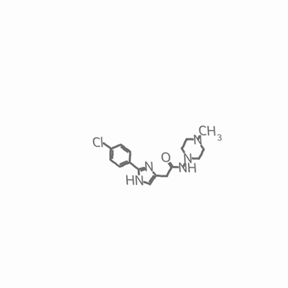 CN1CCN(NC(=O)Cc2c[nH]c(-c3ccc(Cl)cc3)n2)CC1